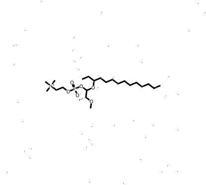 CCCCCCCCCCCC(CC)OC(OP(=O)([O-])OCC[N+](C)(C)C)[C@@H](C)OC